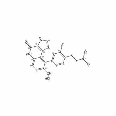 CCN(CC)CCc1ccc(-c2c(O)ccc3[nH]c(=O)c4sccc4c23)cc1F.Cl